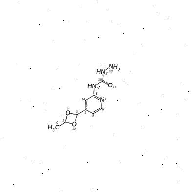 CC1OC(c2ccnc(NC(=O)NN)c2)O1